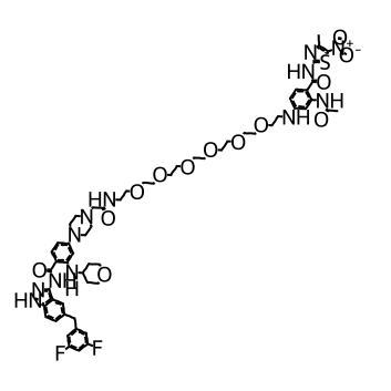 CC(=O)Nc1cc(NCCOCCOCCOCCOCCOCCOCCNC(=O)CN2CCN(c3ccc(C(=O)Nc4n[nH]c5ccc(Cc6cc(F)cc(F)c6)cc45)c(NC4CCOCC4)c3)CC2)ccc1C(=O)Nc1nc(C)c([N+](=O)[O-])s1